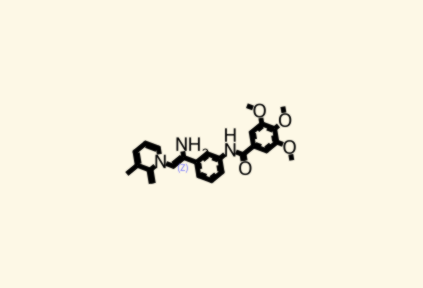 C=C1C(C)=CC=CN1/C=C(\N)c1cccc(NC(=O)c2cc(OC)c(OC)c(OC)c2)c1